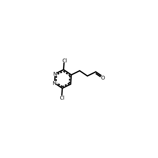 O=CCCc1cc(Cl)nnc1Cl